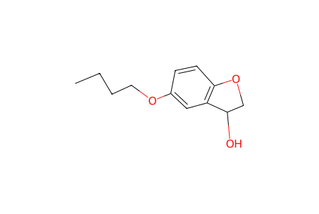 CCCCOc1ccc2c(c1)C(O)CO2